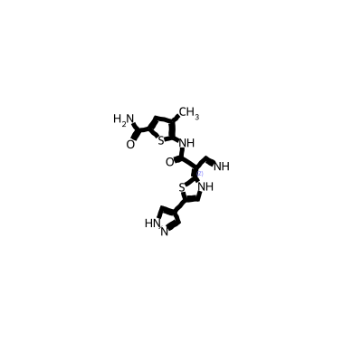 Cc1cc(C(N)=O)sc1NC(=O)/C(C=N)=C1/NC=C(c2cn[nH]c2)S1